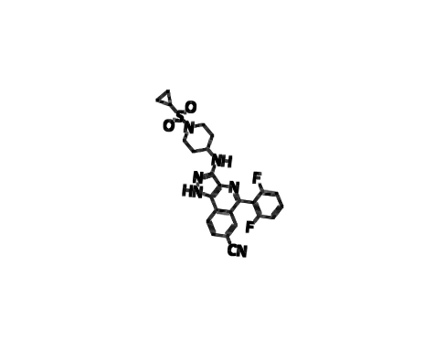 N#Cc1ccc2c(c1)c(-c1c(F)cccc1F)nc1c(NC3CCN(S(=O)(=O)C4CC4)CC3)n[nH]c12